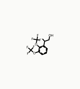 [CH2]C(CO)c1cccc(OC(F)(F)F)c1OC(F)(F)F